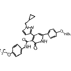 CCCCOc1ccc(-c2cc(-c3ccn(CC4CC4)n3)c(C(=O)Nc3ccc(OC(F)(F)F)cc3)c(=O)[nH]2)cc1